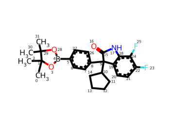 CC1(C)OB(c2ccc(C3(C4CCCC4)C(=O)Nc4c3ccc(F)c4F)cc2)OC1(C)C